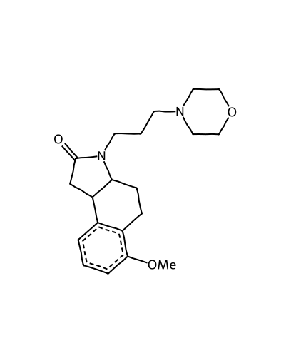 COc1cccc2c1CCC1C2CC(=O)N1CCCN1CCOCC1